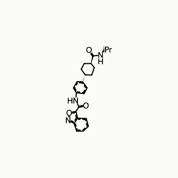 CC(C)NC(=O)[C@H]1CC[C@H](c2ccc(NC(=O)c3onc4ccccc34)cc2)CC1